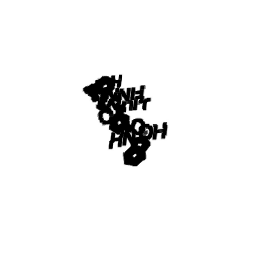 CCCC(c1cccc(C(=O)N[C@@H]2c3ccccc3C[C@H]2O)c1)N1C(=N)N[C@@](CC2CC2)(c2ccccc2)CC1=O